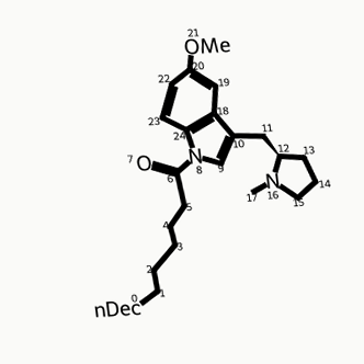 CCCCCCCCCCCCCCCC(=O)n1cc(C[C@H]2CCCN2C)c2cc(OC)ccc21